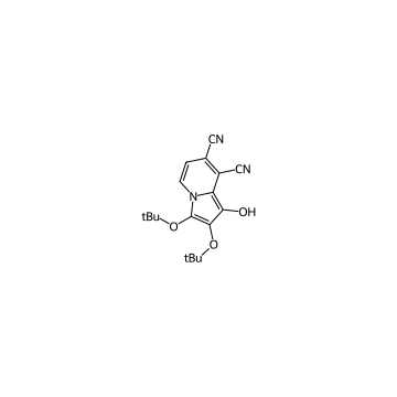 CC(C)(C)Oc1c(O)c2c(C#N)c(C#N)ccn2c1OC(C)(C)C